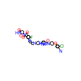 N#Cc1ccc(O[C@H]2CC[C@H](NC(=O)c3ccc(N4CCC(N5CCC6(CCN(c7cc8c(cc7F)C(=O)N(C7CCC(=O)NC7=O)C8=O)C6)C5)CC4)nn3)CC2)cc1Cl